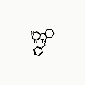 c1ccc(Cn2c3c(c4cncnc42)CCCC3)cc1